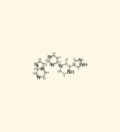 CC1C(c2cn[nH]c2)NCCN1c1ccnc(-c2cnc3cnccn23)n1